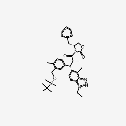 CCn1nnc2c(C)c([C@H](c3ccc(C)c(CO[Si](C)(C)C(C)(C)C)c3)[C@@H](C)C(=O)N3C(=O)OC[C@H]3Cc3ccccc3)ccc21